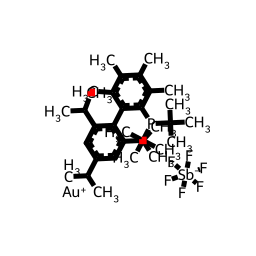 Cc1c(C)c(C)c(P(C(C)(C)C)C(C)(C)C)c(-c2c(C(C)C)cc(C(C)C)cc2C(C)C)c1C.[Au+].[F][Sb-]([F])([F])([F])([F])[F]